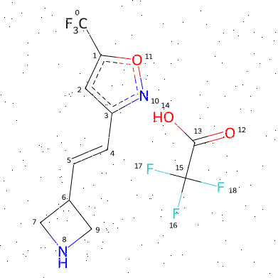 FC(F)(F)c1cc(C=CC2CNC2)no1.O=C(O)C(F)(F)F